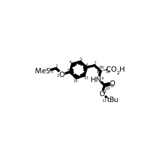 CSCOc1ccc(C[C@@H](NC(=O)OC(C)(C)C)C(=O)O)cc1